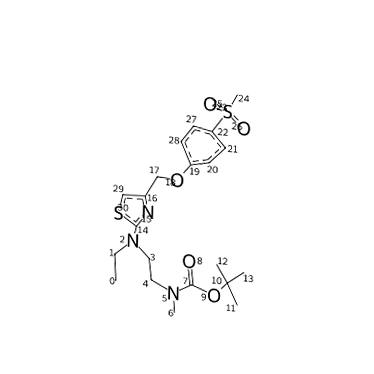 CCN(CCN(C)C(=O)OC(C)(C)C)c1nc(COc2ccc(S(C)(=O)=O)cc2)cs1